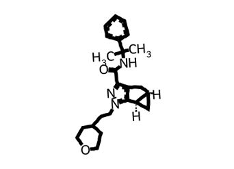 CC(C)(NC(=O)c1nn(CCC2CCOCC2)c2c1C[C@H]1C[C@@H]21)c1ccccc1